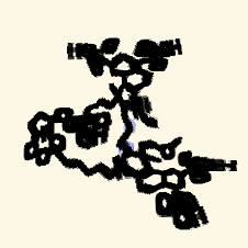 CC[N+]1=C(/C=C/C=C2/N(CCCCCC(=O)ON3C(=O)CCC3=O)c3ccc4c(S(=O)(=O)O)cc(S(=O)(=O)O)cc4c3C2(C)CCOC)C(C)(CCCS(=O)(=O)O)c2c1ccc1c(S(=O)(=O)O)cc(S(=O)(=O)O)cc21